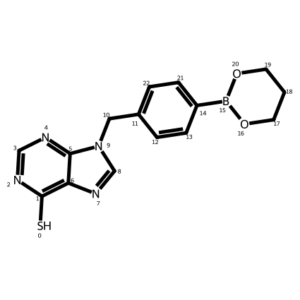 Sc1ncnc2c1ncn2Cc1ccc(B2OCCCO2)cc1